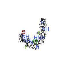 COc1nc(-c2ccnc(-c3cccc(Nc4nccc(CNC5CCN(C(C)=O)CC5)c4F)c3Cl)c2Cl)cc(F)c1CNC[C@@H]1CCC(=O)N1